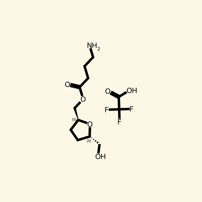 NCCCC(=O)OC[C@@H]1CC[C@@H](CO)O1.O=C(O)C(F)(F)F